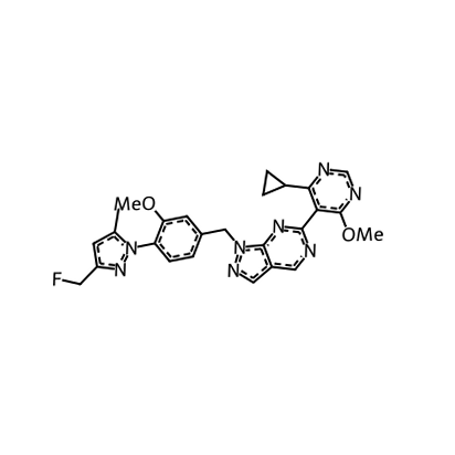 COc1cc(Cn2ncc3cnc(-c4c(OC)ncnc4C4CC4)nc32)ccc1-n1nc(CF)cc1C